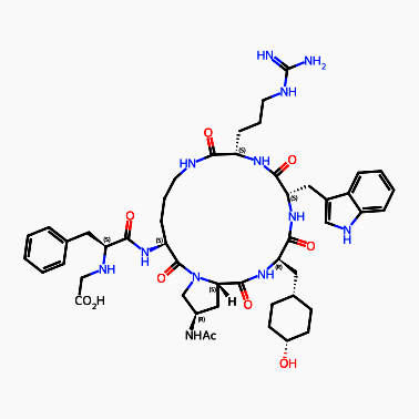 CC(=O)N[C@@H]1C[C@H]2C(=O)N[C@H](C[C@H]3CC[C@@H](O)CC3)C(=O)N[C@@H](Cc3c[nH]c4ccccc34)C(=O)N[C@@H](CCCNC(=N)N)C(=O)NCCC[C@H](NC(=O)[C@H](Cc3ccccc3)NCC(=O)O)C(=O)N2C1